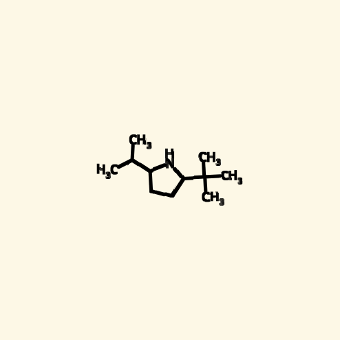 CC(C)C1CCC(C(C)(C)C)N1